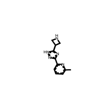 Cc1cccc(-c2n[nH]c(C3CNC3)n2)n1